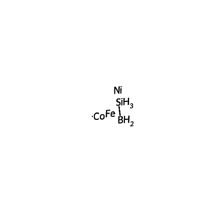 B[SiH3].[Co].[Fe].[Ni]